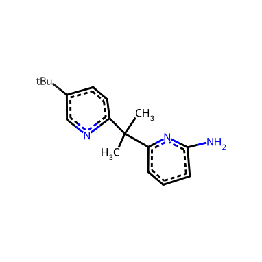 CC(C)(C)c1ccc(C(C)(C)c2cccc(N)n2)nc1